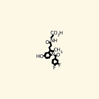 Cc1c(CCC(=O)NCCC(=O)O)c2cc(O)ccc2n1C(=O)c1ccc(F)c(F)c1